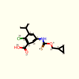 CC(C)c1cc(NC(=S)OCC2CC2)cc(C(=O)O)c1Cl